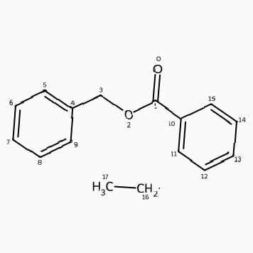 O=C(OCc1ccccc1)c1ccccc1.[CH2]C